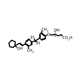 CCC(CC)(c1ccc(C=CC2(O)CCCCC2)c(C)c1)c1ccc(OC[C@H](O)CCC(=O)O)c(C)c1